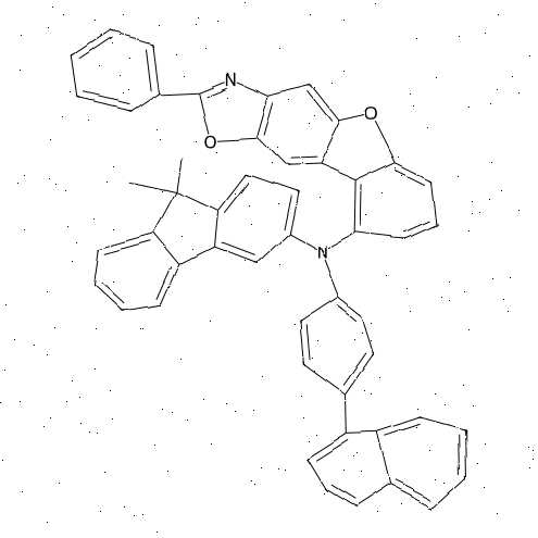 CC1(C)c2ccccc2-c2cc(N(c3ccc(-c4cccc5ccccc45)cc3)c3cccc4oc5cc6nc(-c7ccccc7)oc6cc5c34)ccc21